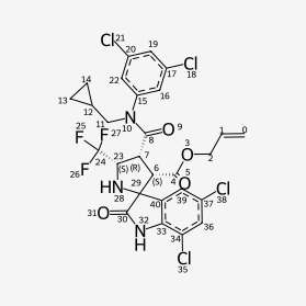 C=CCOC(=O)[C@H]1[C@@H](C(=O)N(CC2CC2)c2cc(Cl)cc(Cl)c2)[C@@H](C(F)(F)F)NC12C(=O)Nc1c(Cl)cc(Cl)cc12